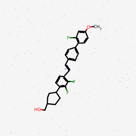 COc1ccc(-c2ccc(/C=C/c3ccc(C4CCC(CO)CC4)c(F)c3F)cc2)c(F)c1